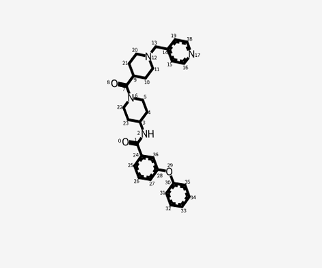 O=C(NC1CCN(C(=O)C2CCN(Cc3ccncc3)CC2)CC1)c1cccc(Oc2ccccc2)c1